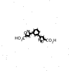 O=C(O)c1cc(-c2cccc(-c3cc(C(=O)O)on3)c2)no1